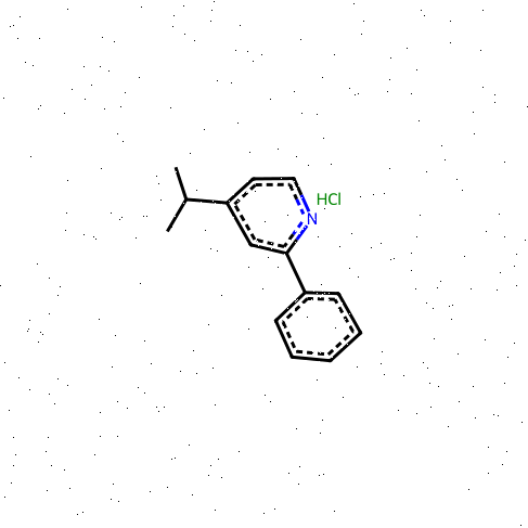 CC(C)c1ccnc(-c2ccccc2)c1.Cl